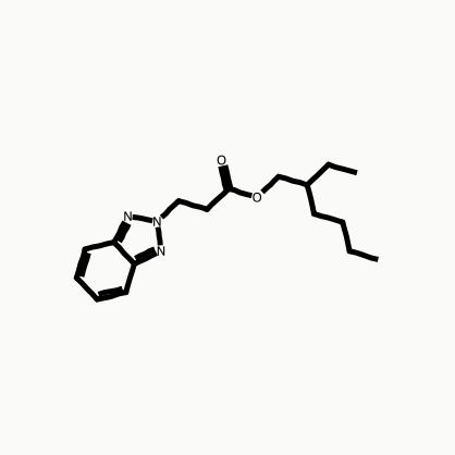 CCCCC(CC)COC(=O)CCn1nc2ccccc2n1